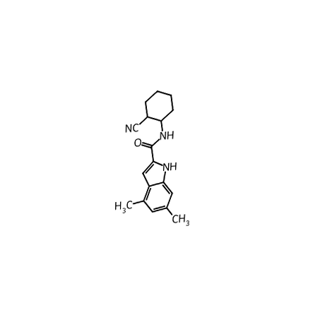 Cc1cc(C)c2cc(C(=O)NC3CCCCC3C#N)[nH]c2c1